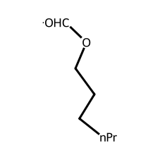 [CH2]CCCCCO[C]=O